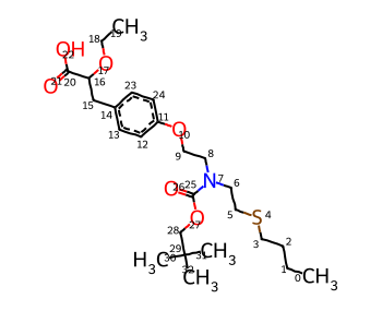 CCCCSCCN(CCOc1ccc(CC(OCC)C(=O)O)cc1)C(=O)OCC(C)(C)C